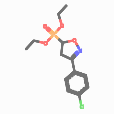 CCOP(=O)(OCC)C1CC(c2ccc(Cl)cc2)=NO1